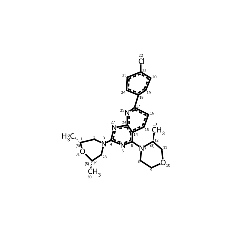 C[C@@H]1CN(c2nc(N3CCOC[C@@H]3C)c3ccc(-c4ccc(Cl)cc4)nc3n2)C[C@H](C)O1